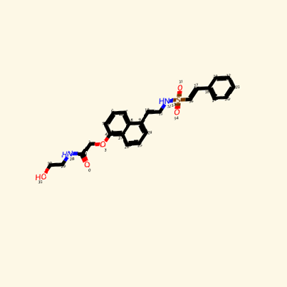 O=C(COc1cccc2c(CCNS(=O)(=O)/C=C/c3ccccc3)cccc12)NCCO